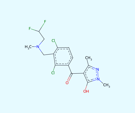 Cc1nn(C)c(O)c1C(=O)c1ccc(Cl)c(CN(C)CC(F)F)c1Cl